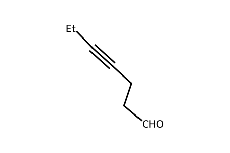 CCC#CCCC=O